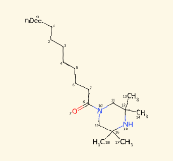 CCCCCCCCCCCCCCCCCC(=O)N1CC(C)(C)NC(C)(C)C1